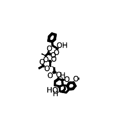 COc1ccc2c3c1O[C@@H]1C(OC(=O)C[C@H](OC(C)=O)C(=O)O[C@@H](C)C(=O)O[C@H](C(=O)O)c4ccccc4)=CC[C@]4(O)[C@@H](CCC[C@@]314)C2